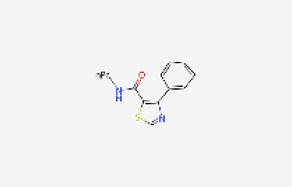 CCCNC(=O)c1s[c]nc1-c1ccccc1